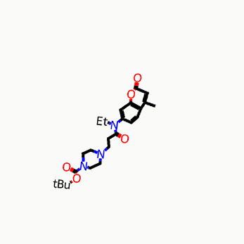 CCN(C(=O)CCN1CCN(C(=O)OC(C)(C)C)CC1)c1ccc2c(C)cc(=O)oc2c1